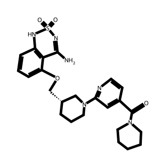 NC1=NS(=O)(=O)Nc2cccc(OC[C@H]3CCCN(c4cc(C(=O)N5CCCCC5)ccn4)C3)c21